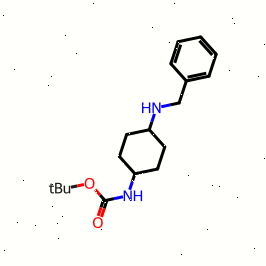 CC(C)(C)OC(=O)NC1CCC(NCc2ccccc2)CC1